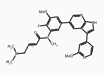 COc1cc(-c2c[nH]c3ncc(-c4cc(OC)c(F)c(N(C)C(=O)/C=C/CN(C)C)c4)cc23)ccn1